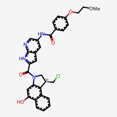 COCCOc1ccc(C(=O)Nc2cnc3[nH]c(C(=O)N4C[C@@H](CCl)c5c4cc(O)c4ccccc54)cc3c2)cc1